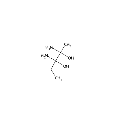 CCC(N)(O)C(C)(N)O